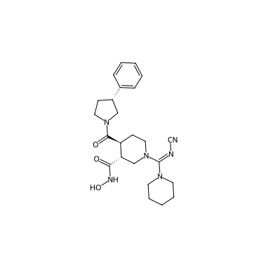 N#CN=C(N1CCCCC1)N1CC[C@H](C(=O)N2CC[C@H](c3ccccc3)C2)[C@@H](C(=O)NO)C1